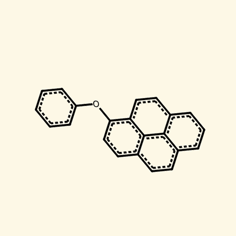 c1ccc(Oc2ccc3ccc4cccc5ccc2c3c45)cc1